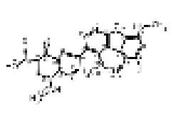 CNc1cc(F)c(F)c2c1[nH]c1ncc(-c3cnc4c(c3)c(=O)c(C(=O)O)cn4NC)c(N(C)C)c12